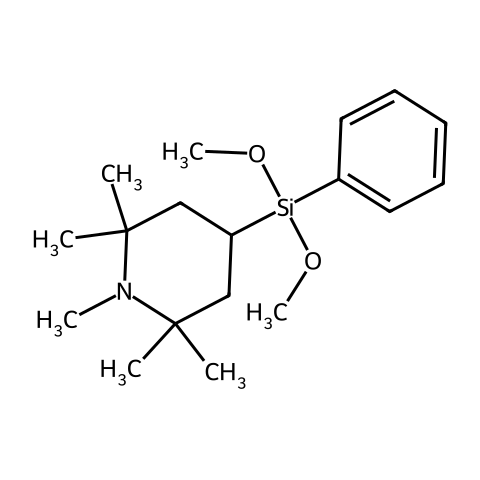 CO[Si](OC)(c1ccccc1)C1CC(C)(C)N(C)C(C)(C)C1